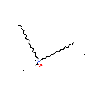 CCCCCCCCCCCCCCCC[N+](C)(CCCCCCCCCCCCCCCC)C(C)O